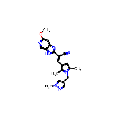 COc1cc2nc(/C(C#N)=C/c3cc(C)n(Cc4cnn(C)c4)c3C)[nH]c2cn1